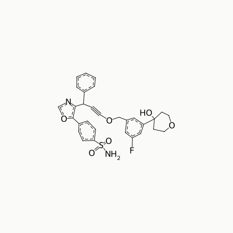 NS(=O)(=O)c1ccc(-c2ocnc2C(C#COCc2cc(F)cc(C3(O)CCOCC3)c2)c2ccccc2)cc1